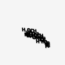 CC(C)OC(=O)[C@@H](Cn1cncn1)OC(=O)N[C@@H](C)c1ccc(OCC(F)(F)F)cc1